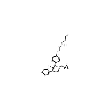 C[C@@H]1Cc2c([nH]c3ccccc23)[C@@H](c2ccc(OCCNCCCF)cc2F)N1CC1(F)CC1